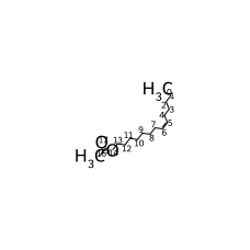 CCCCC/C=C\CCCCCCCOC(C)=O